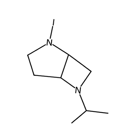 CC(C)N1CC2C1CCN2I